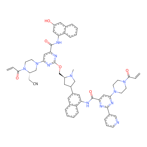 C=CC(=O)N1CCN(c2cc(C(=O)Nc3cc(C4C[C@@H](COc5nc(C(=O)Nc6cc(O)cc7ccccc67)cc(N6CCN(C(=O)C=C)[C@@H](CC#N)C6)n5)N(C)C4)cc4ccccc34)nc(-c3cccnc3)n2)CC1